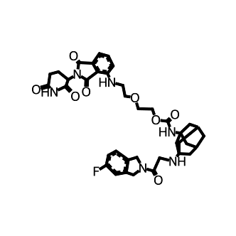 O=C1CCC(N2C(=O)c3cccc(NCCOCCOC(=O)NC45CC6CC(CC(NCC(=O)N7Cc8ccc(F)cc8C7)(C6)C4)C5)c3C2=O)C(=O)N1